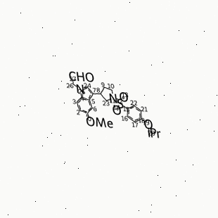 COc1ccc2c(c1)c(C1CCN(S(=O)(=O)c3ccc(OC(C)C)cc3)C1)cn2CC=O